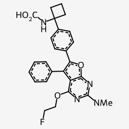 CNc1nc(OCCF)c2c(-c3ccccc3)c(-c3ccc(C4(NC(=O)O)CCC4)cc3)oc2n1